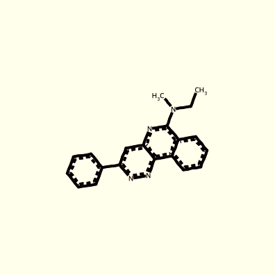 CCN(C)c1nc2cc(-c3ccccc3)nnc2c2ccccc12